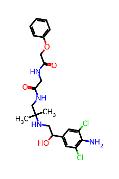 CC(C)(CNC(=O)CNC(=O)COc1ccccc1)NCC(O)c1cc(Cl)c(N)c(Cl)c1